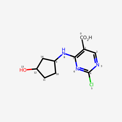 O=C(O)c1cnc(Cl)nc1NC1CCC(O)C1